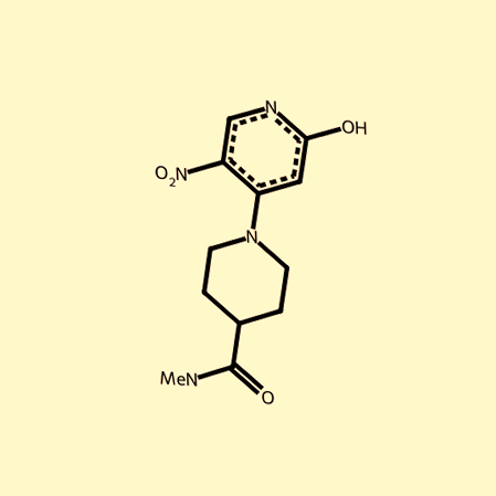 CNC(=O)C1CCN(c2cc(O)ncc2[N+](=O)[O-])CC1